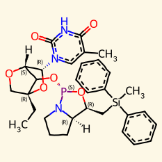 CC[C@@]12CO[C@@H](C1O[P@]1O[C@@H](C[Si](C)(c3ccccc3)c3ccccc3)[C@H]3CCCN31)[C@H](n1cc(C)c(=O)[nH]c1=O)O2